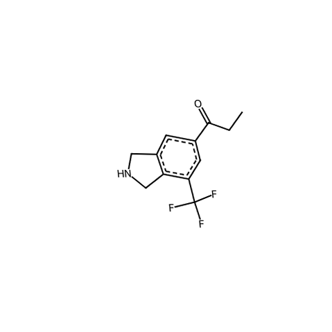 CCC(=O)c1cc2c(c(C(F)(F)F)c1)CNC2